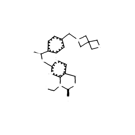 CC(C)CN1C(=O)OCc2cnc(N[C@@H](C)c3ccc(CN4CC5(CNC5)C4)cc3)nc21